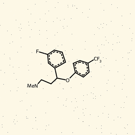 CNCCC(Oc1ccc(C(F)(F)F)cc1)c1cccc(F)c1